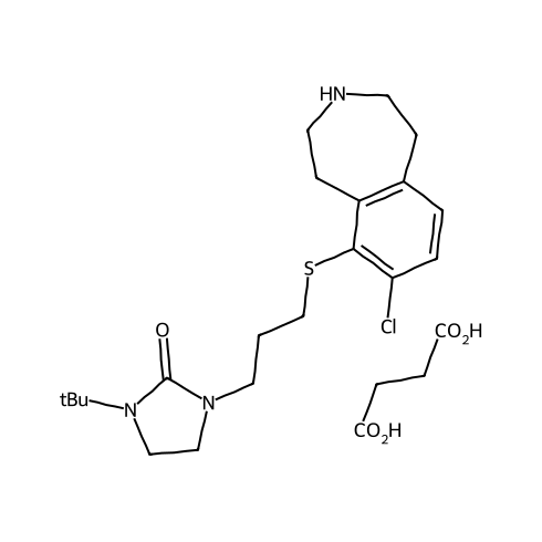 CC(C)(C)N1CCN(CCCSc2c(Cl)ccc3c2CCNCC3)C1=O.O=C(O)CCC(=O)O